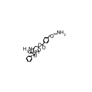 NCCOCc1ccc(C(=O)OC(=O)C[C@@H](N)NS(=O)(=O)c2ccccc2)cc1